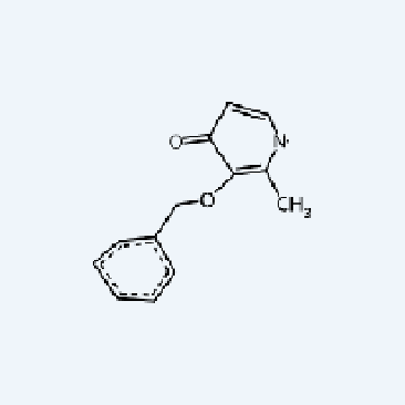 CC1=C(OCc2ccccc2)C(=O)C=C[N]1